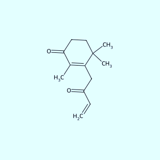 C=CC(=O)CC1=C(C)C(=O)CCC1(C)C